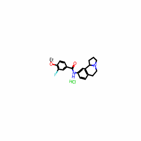 CCOc1ccc(C(=O)Nc2ccc3c(c2)C2CCCN2CC3)cc1F.Cl